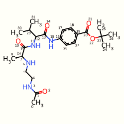 CC(=O)NCCN[C@@H](C)C(=O)NC(C(=O)Nc1ccc(C(=O)OC(C)(C)C)cc1)C(C)C